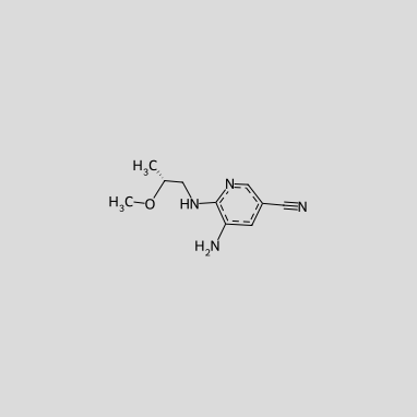 CO[C@H](C)CNc1ncc(C#N)cc1N